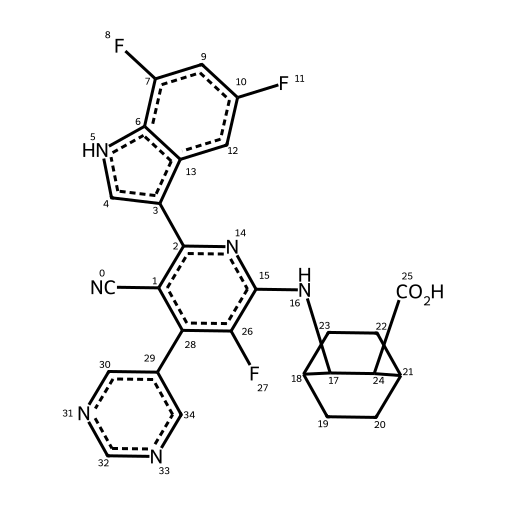 N#Cc1c(-c2c[nH]c3c(F)cc(F)cc23)nc(NC2C3CCC(CC3)C2C(=O)O)c(F)c1-c1cncnc1